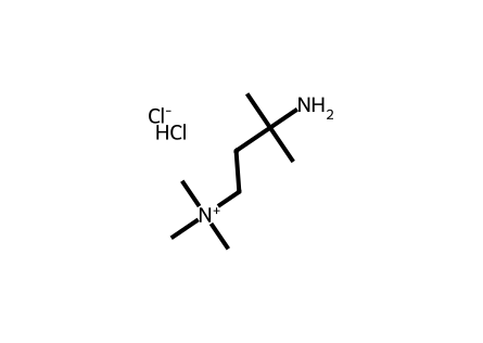 CC(C)(N)CC[N+](C)(C)C.Cl.[Cl-]